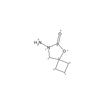 NN1CC2(CCC2)OC1=O